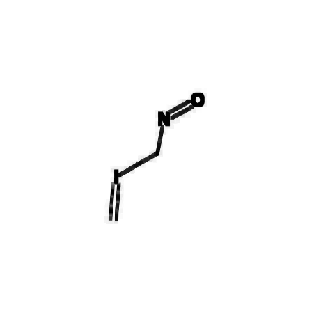 C=ICN=O